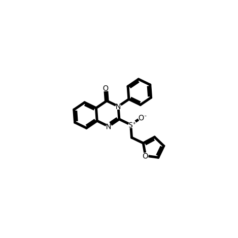 O=c1c2ccccc2nc([S+]([O-])Cc2ccco2)n1-c1ccccc1